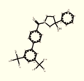 O=C(c1ccc(-c2cc(C(F)(F)F)cc(C(F)(F)F)c2)cc1)N1CCC(O)(c2cccnc2)C1